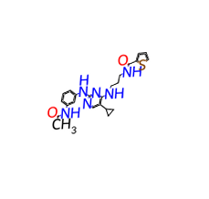 CC(=O)Nc1cccc(Nc2ncc(C3CC3)c(NCCCNC(=O)c3cccs3)n2)c1